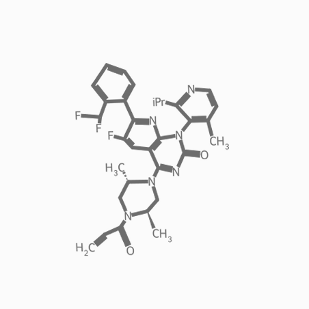 C=CC(=O)N1C[C@H](C)N(c2nc(=O)n(-c3c(C)ccnc3C(C)C)c3nc(-c4ccccc4C(F)F)c(F)cc23)C[C@H]1C